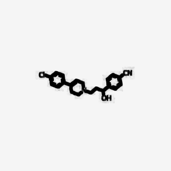 N#Cc1ccc(C(O)CCN2CC=C(c3ccc(Cl)cc3)CC2)cc1